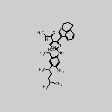 C=C(/N=C(\C(=C/C)C(=O)NC)c1cn2c3c(cccc13)CCC2)Nc1cc(N)c(N(C)CCN(C)C)cc1CC